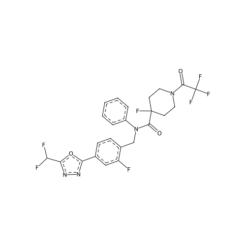 O=C(N1CCC(F)(C(=O)N(Cc2ccc(-c3nnc(C(F)F)o3)cc2F)c2ccccc2)CC1)C(F)(F)F